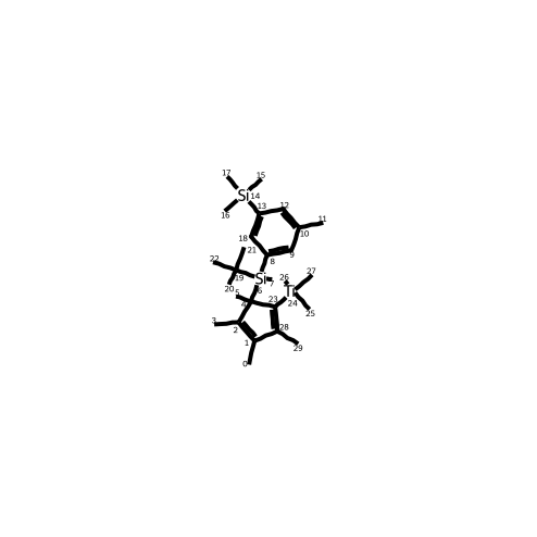 CC1=C(C)C(C)([Si](C)(c2cc(C)cc([Si](C)(C)C)c2)C(C)(C)C)[C]([Ti]([CH3])([CH3])[CH3])=C1C